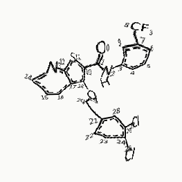 O=C(Nc1cccc(C(F)(F)F)c1)c1sc2ncccc2c1OCc1ccc(Cl)c(Cl)c1